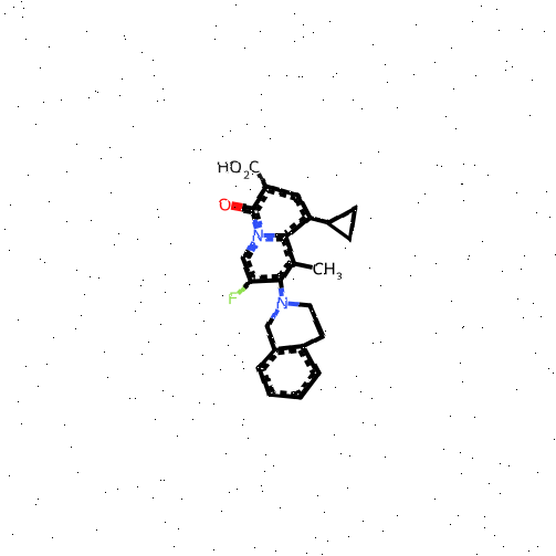 Cc1c(N2CCc3ccccc3C2)c(F)cn2c(=O)c(C(=O)O)cc(C3CC3)c12